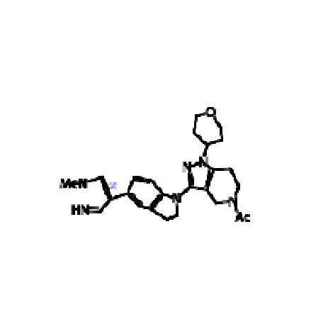 CN/C=C(\C=N)c1ccc2c(c1)CCN2c1nn(C2CCOCC2)c2c1CN(C(C)=O)CC2